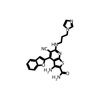 N#Cc1c(NCCCn2ccnc2)nc2sc(C(N)=O)c(N)c2c1-c1cc2ccccc2o1